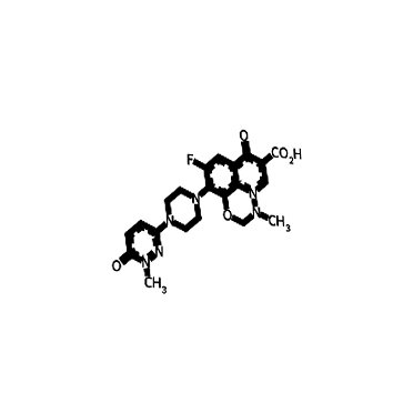 CN1COc2c(N3CCN(c4ccc(=O)n(C)n4)CC3)c(F)cc3c(=O)c(C(=O)O)cn1c23